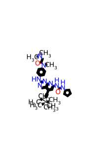 CC(C)[Si](C#Cc1cc(NC(=O)NC2CCCC2)nc2nc(Nc3ccc(N(C)C(=O)CN(C)C)cc3)ncc12)(C(C)C)C(C)C